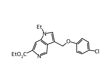 CCOC(=O)c1cc2c(cn1)c(COc1ccc(Cl)cc1)cn2CC